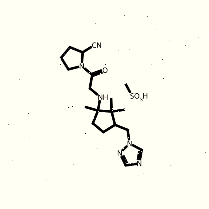 CC1(NCC(=O)N2CCCC2C#N)CCC(Cn2cncn2)C1(C)C.CS(=O)(=O)O